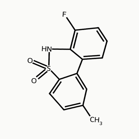 Cc1ccc2c(c1)-c1cccc(F)c1NS2(=O)=O